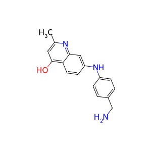 Cc1cc(O)c2ccc(Nc3ccc(CN)cc3)cc2n1